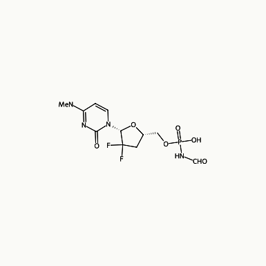 CNc1ccn([C@@H]2O[C@H](COP(=O)(O)NC=O)CC2(F)F)c(=O)n1